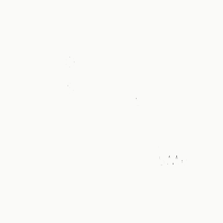 C=C(C)C(=O)Sc1ccc(Sc2ccc(SC)cc2)cc1